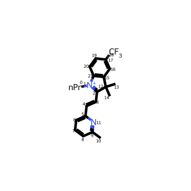 CCC[N+]1=C(C=Cc2cccc(C)n2)C(C)(C)c2cc(C(F)(F)F)ccc21